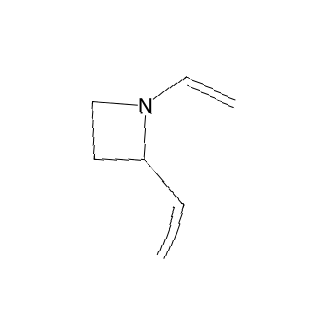 C=CC1CCN1C=C